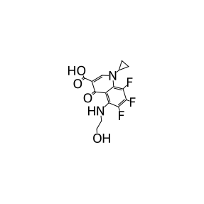 O=C(O)c1cn(C2CC2)c2c(F)c(F)c(F)c(NCCO)c2c1=O